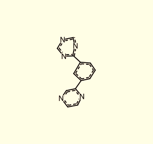 c1cc(-c2cnccn2)cc(-c2ncncn2)c1